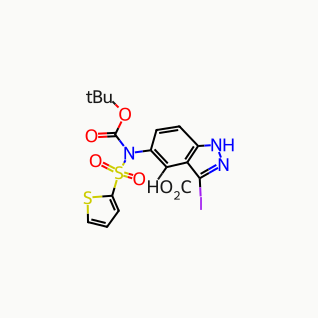 CC(C)(C)OC(=O)N(c1ccc2[nH]nc(I)c2c1C(=O)O)S(=O)(=O)c1cccs1